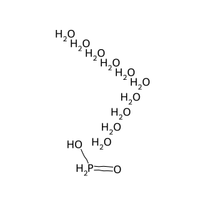 O.O.O.O.O.O.O.O.O.O.O=[PH2]O